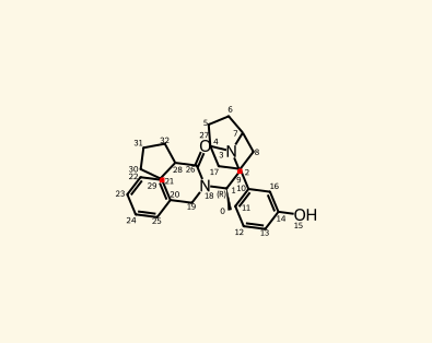 C[C@H](CN1C2CCC1CC(c1cccc(O)c1)C2)N(Cc1ccccc1)C(=O)C1CCCC1